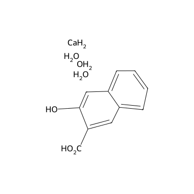 O.O.O.O=C(O)c1cc2ccccc2cc1O.[CaH2]